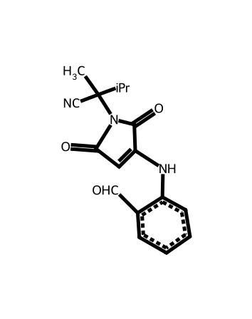 CC(C)C(C)(C#N)N1C(=O)C=C(Nc2ccccc2C=O)C1=O